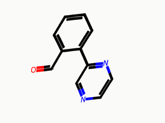 O=[C]c1ccccc1-c1cnccn1